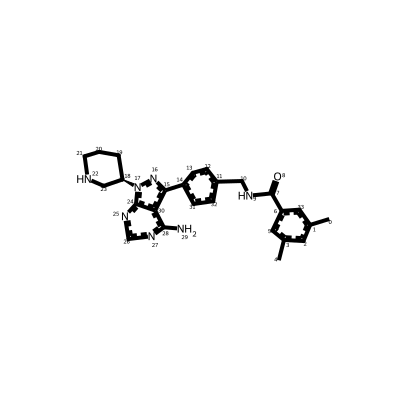 Cc1cc(C)cc(C(=O)NCc2ccc(-c3nn([C@@H]4CCCNC4)c4ncnc(N)c34)cc2)c1